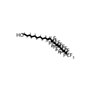 OCCCCCCCCCC=CC(F)(F)C(F)(F)C(F)(F)C(F)(F)C(F)(F)C(F)(F)C(F)(F)C(F)(F)F